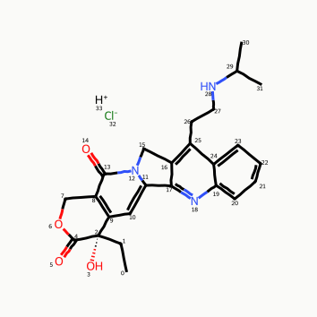 CC[C@@]1(O)C(=O)OCc2c1cc1n(c2=O)Cc2c-1nc1ccccc1c2CCNC(C)C.[Cl-].[H+]